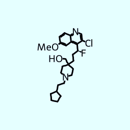 COc1ccc2ncc(Cl)c([C@@H](F)CCC3(CO)CCN(CCC4CCCC4)CC3)c2c1